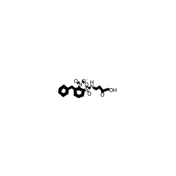 O=C(CO)CCNS(=O)(=O)c1cccc(Cc2ccccc2)c1[N+](=O)[O-]